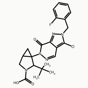 CC(C)(C)C1N(C(=O)O)CC2CC21n1ncc2c(Cl)n(Cc3ccccc3F)nc2c1=O